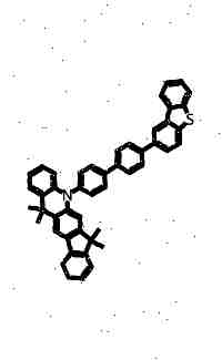 CC1(C)C2=C(CCC=C2)c2cc3c(cc21)N(c1ccc(-c2ccc(-c4ccc5sc6ccccc6c5c4)cc2)cc1)c1ccccc1C3(C)C